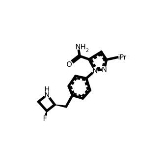 CC(C)c1cc(C(N)=O)n(-c2ccc(C[C@@H]3NC[C@@H]3F)cc2)n1